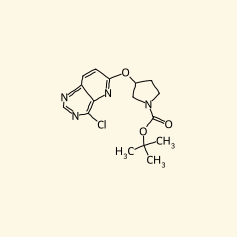 CC(C)(C)OC(=O)N1CCC(Oc2ccc3ncnc(Cl)c3n2)C1